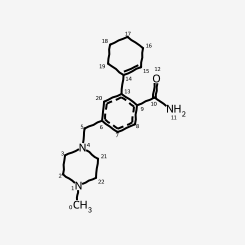 CN1CCN(Cc2ccc(C(N)=O)c(C3=CCCCC3)c2)CC1